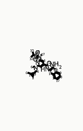 CC1CC1CN(C)c1cc(C(=O)N[C@@H](Cc2ccccc2)[C@H](C)N)cc(N(C)S(=O)(=O)C(C)C)n1